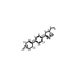 CCC1CC(c2ccc(C3=CCN(C)CC3)cc2)=NO1